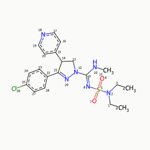 CCN(CC)S(=O)(=O)/N=C(\NC)N1CC(c2ccncc2)C(c2ccc(Cl)cc2)=N1